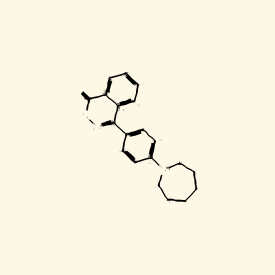 O=c1[nH]nc(-c2ccc(N3CCCCCC3)cc2)c2ccccc12